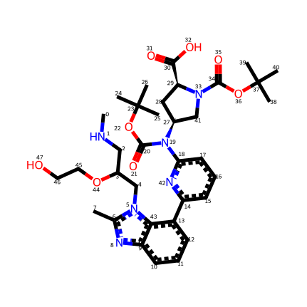 CNCC(Cn1c(C)nc2cccc(-c3cccc(N(C(=O)OC(C)(C)C)[C@H]4C[C@@H](C(=O)O)N(C(=O)OC(C)(C)C)C4)n3)c21)OCCO